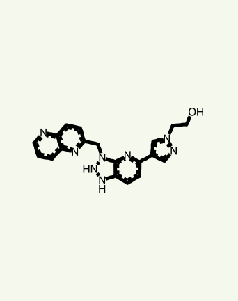 OCCn1cc(-c2ccc3c(n2)N(Cc2ccc4ncccc4n2)NN3)cn1